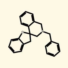 c1ccc(CN2Cc3ccccc3C3(Cc4ccccc4O3)C2)cc1